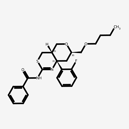 CCCCOC[C@H]1C[C@]2(c3ccccc3F)N=C(NC(=O)c3ccccc3)SC[C@@H]2CO1